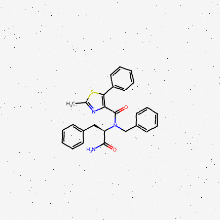 Cc1nc(C(=O)N(Cc2ccccc2)[C@H](Cc2ccccc2)C(N)=O)c(-c2ccccc2)s1